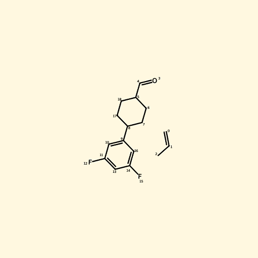 C=CC.O=CC1CCC(c2cc(F)cc(F)c2)CC1